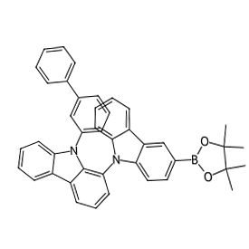 CC1(C)OB(c2ccc3c(c2)c2ccccc2n3-c2cccc3c4ccccc4n(-c4cccc(-c5ccccc5)c4)c23)OC1(C)C